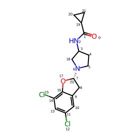 O=C(NC1CCN([C@@H]2Cc3cc(Cl)cc(Cl)c3O2)C1)C1CC1